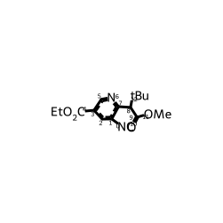 [C-]#[N+]c1cc(C(=O)OCC)cnc1C(C(=O)OC)C(C)(C)C